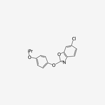 CC(C)Oc1ccc(Oc2nc3ccc(Cl)cc3o2)cc1